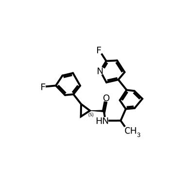 CC(NC(=O)[C@H]1CC1c1cccc(F)c1)c1cccc(-c2ccc(F)nc2)c1